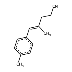 C/C(=C\c1ccc(C)cc1)CCC#N